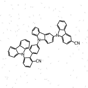 N#Cc1ccc2c(c1)c1ccccc1n2-c1ccc2c(c1)c1ccccc1n2-c1ccc(-c2c(C#N)cccc2-n2c3ccccc3c3ccccc32)cc1